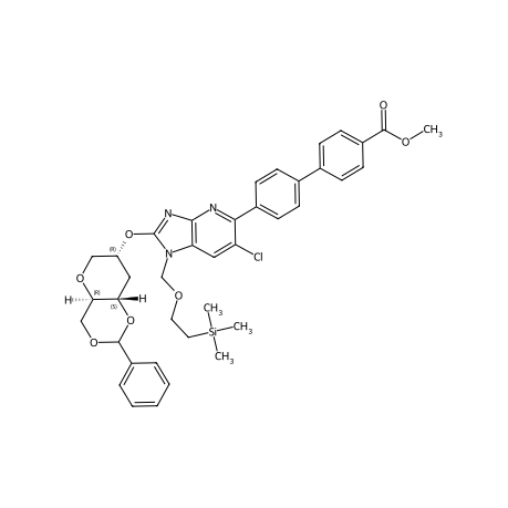 COC(=O)c1ccc(-c2ccc(-c3nc4nc(O[C@H]5CO[C@@H]6COC(c7ccccc7)O[C@H]6C5)n(COCC[Si](C)(C)C)c4cc3Cl)cc2)cc1